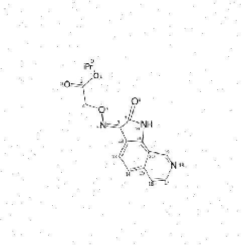 CC(C)OC(=O)CON=C1C(=O)Nc2c1ccc1ccncc21